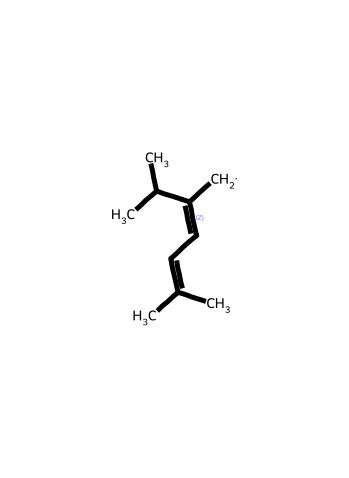 [CH2]/C(=C/C=C(C)C)C(C)C